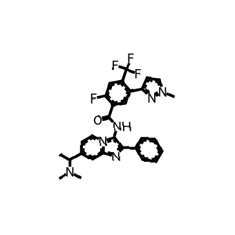 CC(c1ccn2c(NC(=O)c3cc(-c4ccn(C)n4)c(C(F)(F)F)cc3F)c(-c3ccccc3)nc2c1)N(C)C